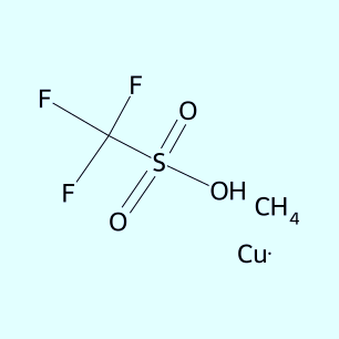 C.O=S(=O)(O)C(F)(F)F.[Cu]